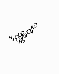 CC(C)(C)NC(=O)Oc1ccc(N2CCCCC2)nc1